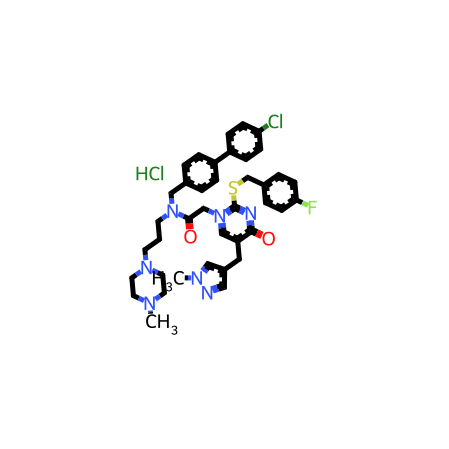 CN1CCN(CCCN(Cc2ccc(-c3ccc(Cl)cc3)cc2)C(=O)Cn2cc(Cc3cnn(C)c3)c(=O)nc2SCc2ccc(F)cc2)CC1.Cl